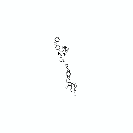 Nc1ncnc2c1c(-c1ccc(Oc3ccccc3)cc1)nn2C1CCCN(CCOCCN2CCN(c3ccc4c(c3)C(=O)N(C3CCC(=O)NC3=O)C4=O)CC2)C1